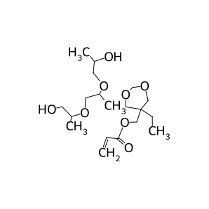 C=CC(=O)OCC1(CC)COCOC1.CC(O)COC(C)COC(C)CO